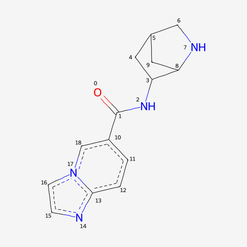 O=C(NC1CC2CNC1C2)c1ccc2nccn2c1